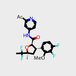 COc1c([C@@H]2C[C@@](C)(C(C)(F)F)O[C@H]2C(=O)Nc2ccnc(C(C)=O)c2)ccc(F)c1F